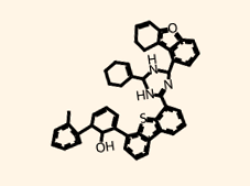 Cc1ccccc1C1C=CC=C(c2cccc3c2sc2c(C4=NC(c5cccc6oc7c(c56)CCC=C7)NC(C5=CCCCC5)N4)cccc23)C1O